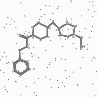 O=C(OCc1ccccc1)N1CCN(C[C@@H]2CC[C@H](CO)CO2)CC1